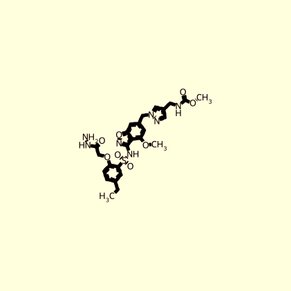 CCc1ccc(OCC(=O)NN)c(S(=O)(=O)Nc2noc3cc(Cn4cc(CNC(=O)OC)cn4)cc(OC)c23)c1